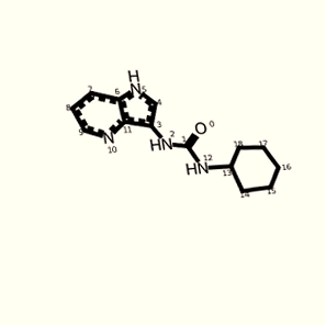 O=C(Nc1c[nH]c2cccnc12)NC1CCCCC1